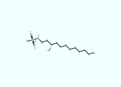 CCCCCCCCC[C@H](F)CCOS(C)(=O)=O